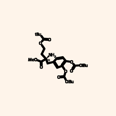 COC(=O)[C@@](N)(CCOC(=O)C(C)(C)C)Cc1ccc(OC(=O)OCC(C)C)c(OC(=O)OCC(C)C)c1